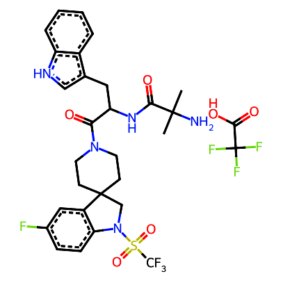 CC(C)(N)C(=O)NC(Cc1c[nH]c2ccccc12)C(=O)N1CCC2(CC1)CN(S(=O)(=O)C(F)(F)F)c1ccc(F)cc12.O=C(O)C(F)(F)F